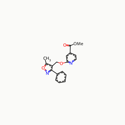 COC(=O)c1ccnc(OCc2c(-c3ccccc3)noc2C)c1